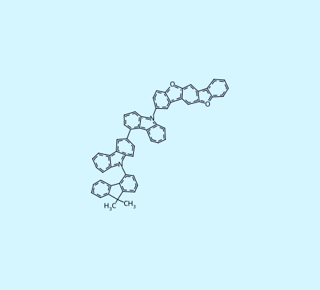 CC1(C)c2ccccc2-c2c(-n3c4ccccc4c4cc(-c5cccc6c5c5ccccc5n6-c5ccc6oc7cc8c(cc7c6c5)oc5ccccc58)ccc43)cccc21